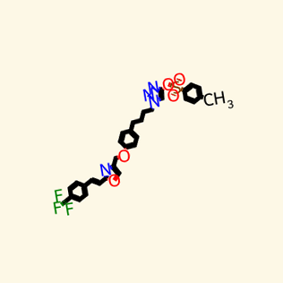 Cc1ccc(S(=O)(=O)Oc2cn(CCCCc3ccc(OCc4coc(C=Cc5ccc(C(F)(F)F)cc5)n4)cc3)nn2)cc1